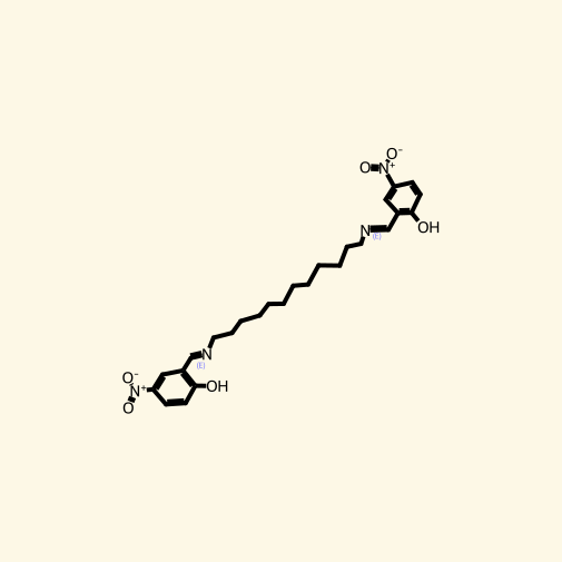 O=[N+]([O-])c1ccc(O)c(/C=N/CCCCCCCCCCCC/N=C/c2cc([N+](=O)[O-])ccc2O)c1